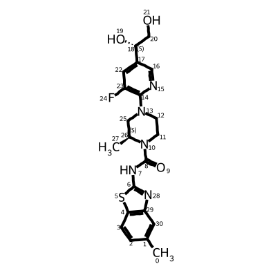 Cc1ccc2sc(NC(=O)N3CCN(c4ncc([C@H](O)CO)cc4F)C[C@@H]3C)nc2c1